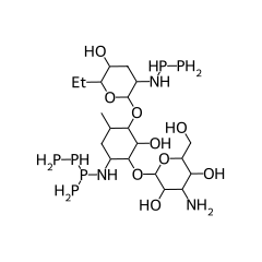 CCC1OC(OC2C(C)CC(NP(P)PP)C(OC3OC(CO)C(O)C(N)C3O)C2O)C(NPP)CC1O